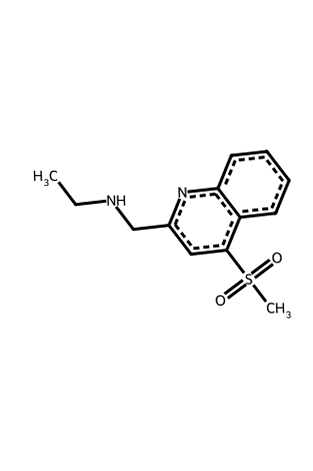 CCNCc1cc(S(C)(=O)=O)c2ccccc2n1